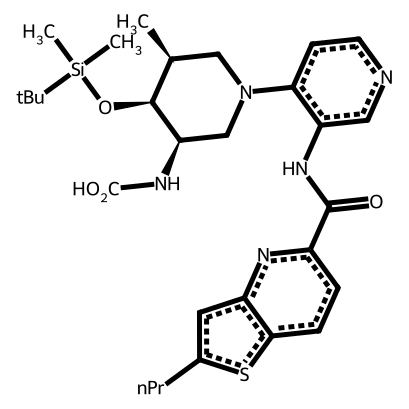 CCCc1cc2nc(C(=O)Nc3cnccc3N3C[C@H](C)[C@H](O[Si](C)(C)C(C)(C)C)[C@H](NC(=O)O)C3)ccc2s1